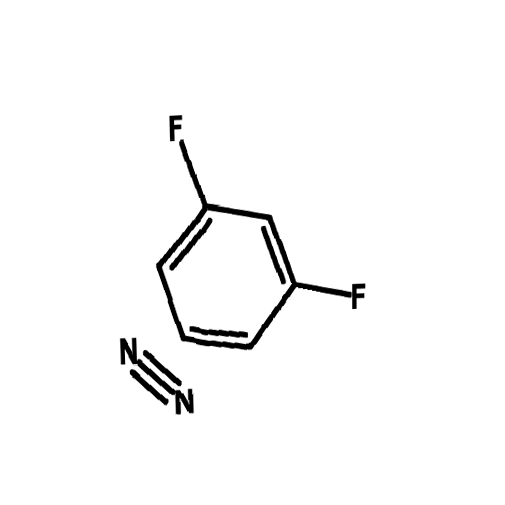 Fc1cccc(F)c1.N#N